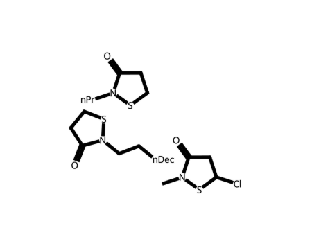 CCCCCCCCCCCCN1SCCC1=O.CCCN1SCCC1=O.CN1SC(Cl)CC1=O